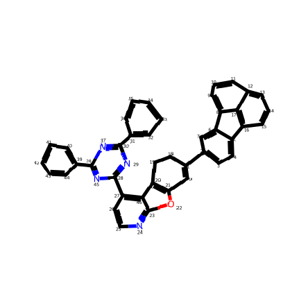 C1=C(c2ccc3c(c2)-c2cccc4cccc-3c24)CCc2c1oc1nccc(-c3nc(-c4ccccc4)nc(-c4ccccc4)n3)c21